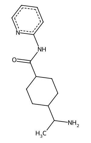 CC(N)C1CCC(C(=O)Nc2ccccn2)CC1